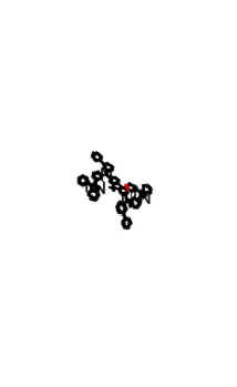 CC1(C)c2cc(N(c3cccc(-c4ccccc4)c3)c3cccc(-c4nc5ccccc5n4-c4ccccc4)c3)ccc2-c2ccc(N(c3cccc(-c4ccccc4)c3)c3cccc(-c4nc5ccccc5n4-c4ccccc4)c3)cc21